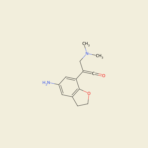 CN(C)CC(=C=O)c1cc(N)cc2c1OCC2